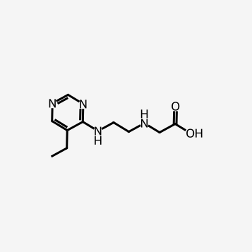 CCc1cncnc1NCCNCC(=O)O